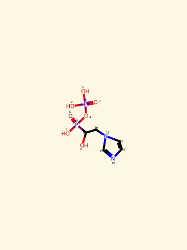 O=P(O)(O)OP(=O)(O)C(O)Cn1ccnc1